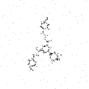 C[C@@H]1CN(c2nc(N(C)CCCc3ccc(Cl)cc3)nc(N(C)CCc3ccc(O)cc3)n2)C[C@H](C)N1